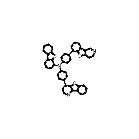 c1ccc2c(c1)oc1c(-c3ccc(N(c4ccc(-c5cccc6c5oc5ccncc56)cc4)c4cccc5c4sc4ccccc45)cc3)ccnc12